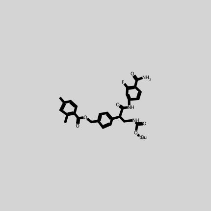 Cc1ccc(C(=O)OCc2ccc(C(CNC(=O)OC(C)(C)C)C(=O)Nc3ccc(C(N)=O)c(F)c3)cc2)c(C)c1